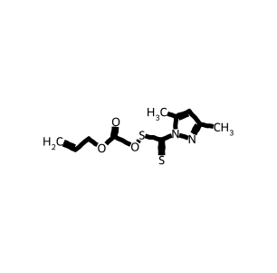 C=CCOC(=O)OSC(=S)n1nc(C)cc1C